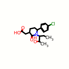 CCC(C(C)O)N1C(=O)C(CC(=O)O)CCC1c1ccc(Cl)cc1